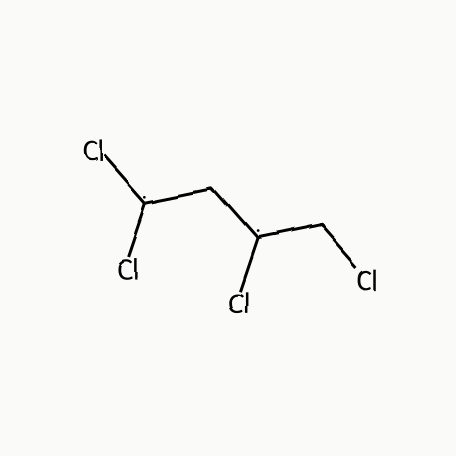 ClC[C](Cl)C[C](Cl)Cl